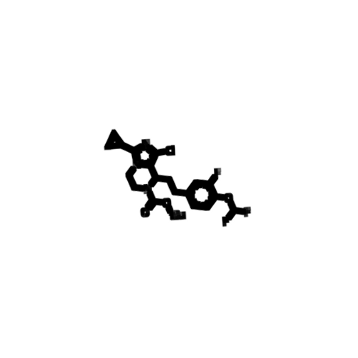 CC(C)(C)OC(=O)N1CCn2c(C3CC3)nc(Cl)c2C1CCc1ccc(OC(F)F)c(F)c1